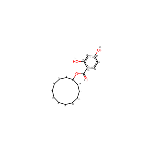 O=C(OC1CCCCCCCCCCC1)c1ccc(O)cc1O